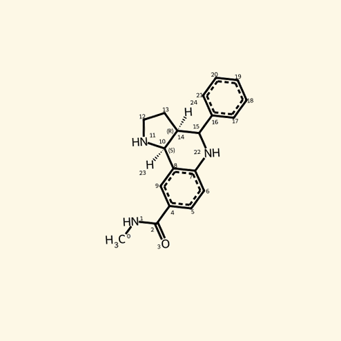 CNC(=O)c1ccc2c(c1)[C@H]1NCC[C@H]1C(c1ccccc1)N2